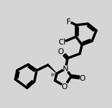 O=C(Cc1cccc(F)c1Cl)N1C(=O)OC[C@H]1Cc1ccccc1